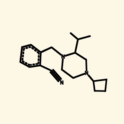 CC(C)C1CN(C2CCC2)CCN1Cc1ccccc1C#N